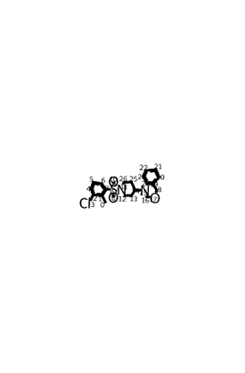 Cc1c(Cl)cccc1S(=O)(=O)N1CCC(N2COCc3ccccc32)CC1